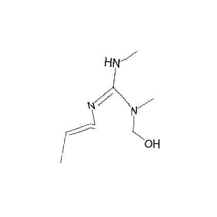 C/C=C/N=C(/NC)N(C)CO